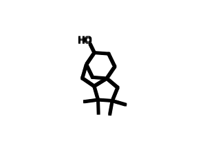 CC1(C)CC23CCC(O)C(CC2C1(C)C)C3